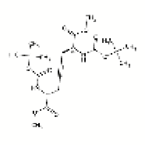 COC(=O)C(CC#CC[C@H](NC(=O)OC(C)(C)C)C(=O)OC)NC(=O)OC(C)(C)C